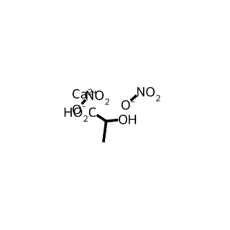 CC(O)C(=O)O.O=[N+]([O-])[O-].O=[N+]([O-])[O-].[Ca+2]